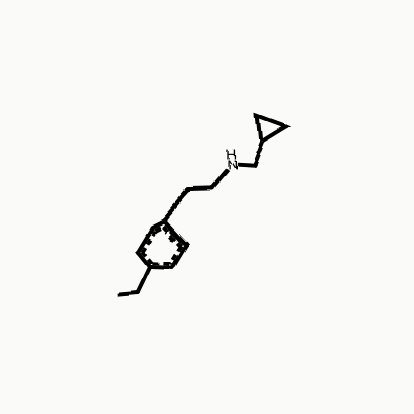 CCc1ccc(CCNCC2CC2)cc1